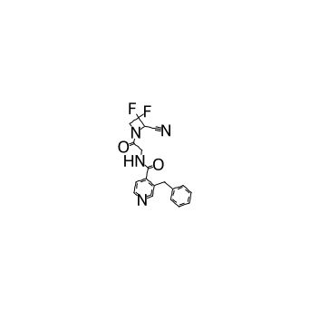 N#CC1N(C(=O)CNC(=O)c2ccncc2Cc2ccccc2)CC1(F)F